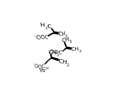 C=C(C)C(=O)[O-].C=C(C)C(=O)[O-].C=C(C)C(=O)[O-].[Yb+3]